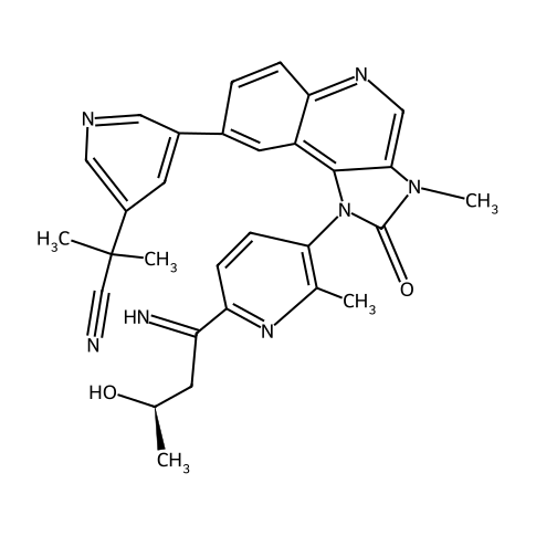 Cc1nc(C(=N)C[C@@H](C)O)ccc1-n1c(=O)n(C)c2cnc3ccc(-c4cncc(C(C)(C)C#N)c4)cc3c21